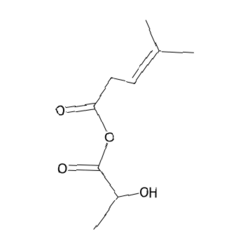 CC(C)=CCC(=O)OC(=O)C(C)O